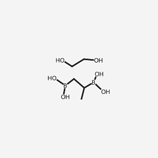 CC(CB(O)O)B(O)O.OCCO